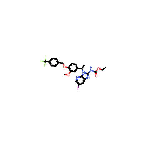 CCOC(=O)Nc1nc2cc(I)cnc2n1C(C)c1ccc(OCc2ccc(C(F)(F)F)cc2)c(OC)c1